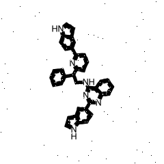 c1ccc(C(CNc2nc(-c3ccc4[nH]ccc4c3)nc3ccccc23)c2cccc(-c3ccc4[nH]ccc4c3)n2)cc1